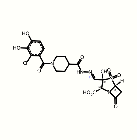 C[C@]1(/C=N/NC(=O)C2CCN(C(=O)c3ccc(O)c(O)c3Cl)CC2)[C@H](C(=O)O)N2C(=O)C[C@H]2S1(=O)=O